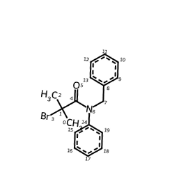 CC(C)(Br)C(=O)N(Cc1ccccc1)c1ccccc1